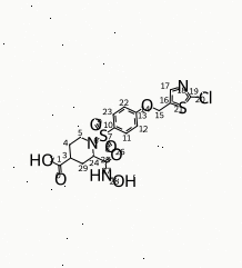 O=C(O)C1CCN(S(=O)(=O)c2ccc(OCc3cnc(Cl)s3)cc2)C(C(=O)NO)C1